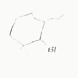 CC1(C)CCCC(Br)C1Br